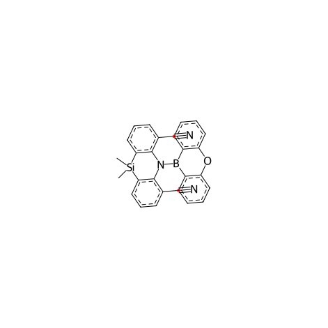 C[Si]1(C)c2cccc(C#N)c2N(B2c3ccccc3Oc3ccccc32)c2c(C#N)cccc21